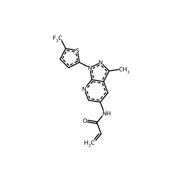 C=CC(=O)Nc1cnc2c(c1)c(C)nn2-c1ccc(C(F)(F)F)s1